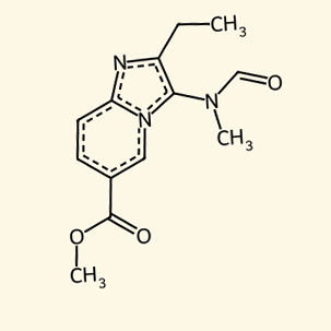 CCc1nc2ccc(C(=O)OC)cn2c1N(C)C=O